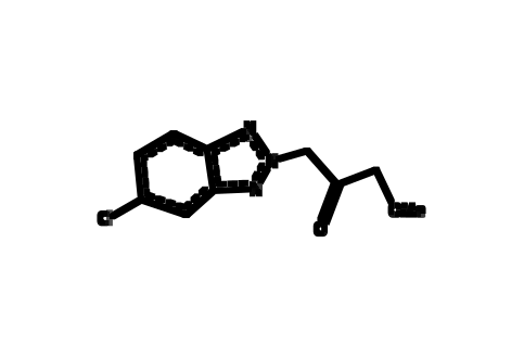 COCC(=O)Cn1nc2ccc(Cl)cc2n1